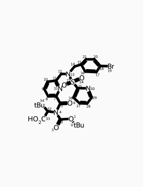 CC(C)(C)OC(=O)N(C(=O)c1cccc(CN(Cc2ccc(Br)cc2)S(=O)(=O)c2ccccn2)n1)C(C(=O)O)C(C)(C)C